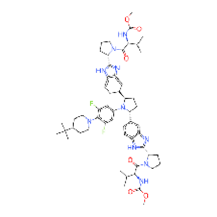 COC(=O)N[C@H](C(=O)N1CCC[C@H]1c1nc2c([nH]1)=CCC([C@H]1CC[C@H](c3ccc4[nH]c([C@@H]5CCCN5C(=O)[C@@H](NC(=O)OC)C(C)C)nc4c3)N1c1cc(F)c(N3CCC(C(C)(C)C)CC3)c(F)c1)C=2)C(C)C